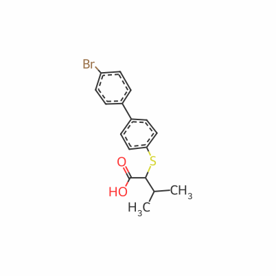 CC(C)C(Sc1ccc(-c2ccc(Br)cc2)cc1)C(=O)O